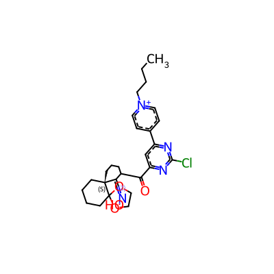 CCCC[n+]1ccc(-c2cc(C(=O)C3CCC[C@@]4(CCCCC45OCCO5)/C3=N\O)nc(Cl)n2)cc1